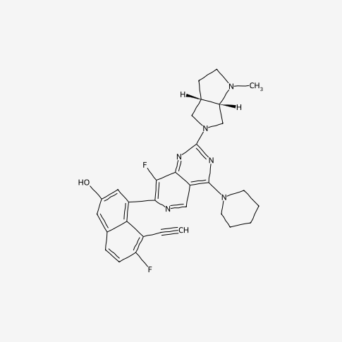 C#Cc1c(F)ccc2cc(O)cc(-c3ncc4c(N5CCCCC5)nc(N5C[C@@H]6CCN(C)[C@@H]6C5)nc4c3F)c12